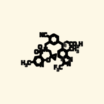 Cc1cnc2c(c1)S(=O)(=O)N(Cc1cc([C@H](CC(=O)O)c3ccn4c(C(F)(F)F)nnc4c3C)ccc1C#N)CC1(CC1)O2